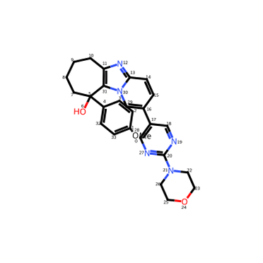 COc1ccc(C2(O)CCCCc3nc4ccc(-c5cnc(N6CCOCC6)nc5)cn4c32)cc1